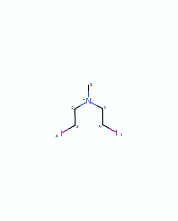 CN(CCI)CCI